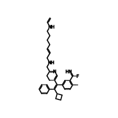 C=CNCCCC/C=C/CNCC1=NC=C(/C(=C(\c2ccccc2)C2CCC2)c2ccc(C)c(C(=N)F)c2)CC1